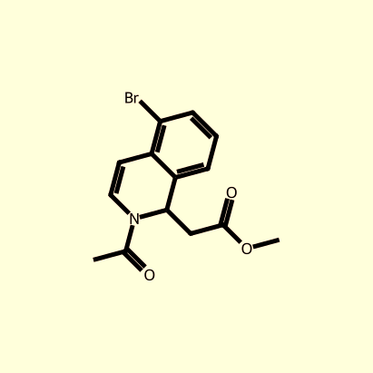 COC(=O)CC1c2cccc(Br)c2C=CN1C(C)=O